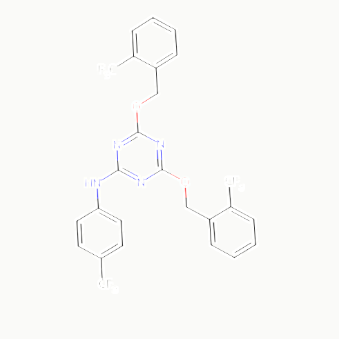 FC(F)(F)c1ccc(Nc2nc(OCc3ccccc3C(F)(F)F)nc(OCc3ccccc3C(F)(F)F)n2)cc1